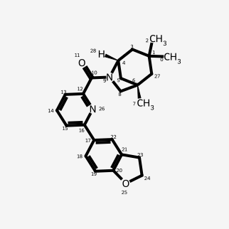 CC1(C)C[C@@H]2C[C@@](C)(CN2C(=O)c2cccc(-c3ccc4c(c3)CCO4)n2)C1